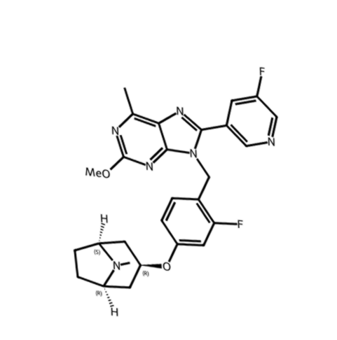 COc1nc(C)c2nc(-c3cncc(F)c3)n(Cc3ccc(O[C@H]4C[C@H]5CC[C@@H](C4)N5C)cc3F)c2n1